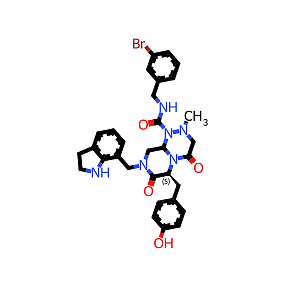 CN1CC(=O)N2C(CN(Cc3cccc4c3NCC4)C(=O)[C@@H]2Cc2ccc(O)cc2)N1C(=O)NCc1cccc(Br)c1